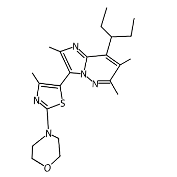 CCC(CC)c1c(C)c(C)nn2c(-c3sc(N4CCOCC4)nc3C)c(C)nc12